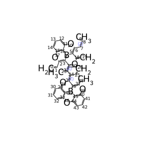 C=CC1=C2B3C(=C(/C=C\C)Oc4cccc(c43)O1)C(=C)O/C2=C(C)\C(C=C)=C1/Oc2cccc3c2B2C1=C(C)Oc1cccc(c12)O3